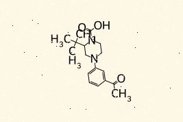 CC(=O)c1cccc(N2CCN(C(=O)O)C(C(C)(C)C)C2)c1